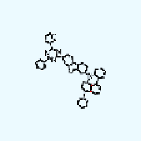 c1ccc(-c2ccc(N(c3ccc4c(c3)oc3cc(-c5nc(-c6ccccc6)nc(-c6ccccc6)n5)ccc34)c3ccccc3-c3ccccc3)cc2)cc1